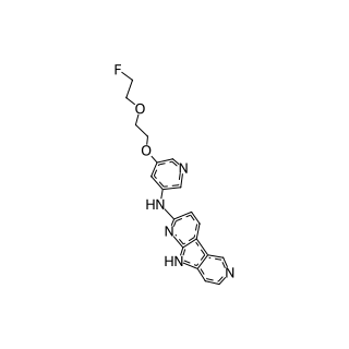 FCCOCCOc1cncc(Nc2ccc3c(n2)[nH]c2ccncc23)c1